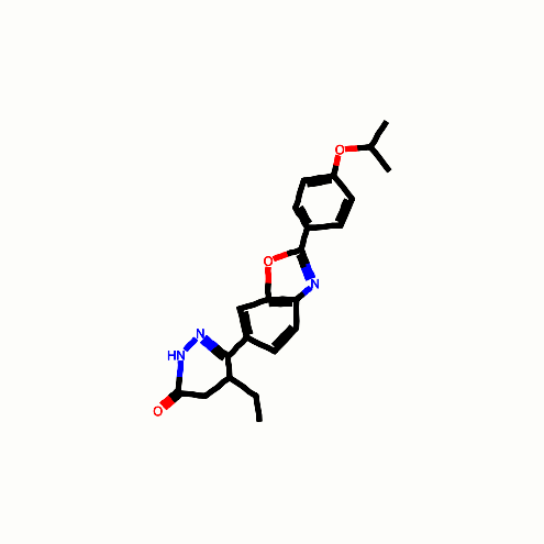 CCC1CC(=O)NN=C1c1ccc2nc(-c3ccc(OC(C)C)cc3)oc2c1